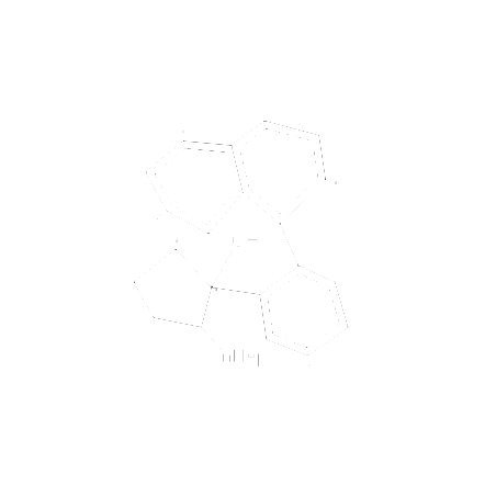 CCCCCCCC1CCCC1(O)c1ccccc1-c1cccc2ccccc12